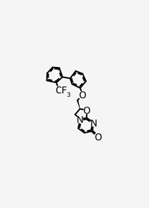 O=c1ccn2c(n1)O[C@H](COc1cccc(-c3ccccc3C(F)(F)F)c1)C2